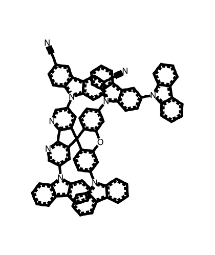 N#Cc1ccc2c(c1)c1cc(C#N)ccc1n2-c1cnc2c(c1)C1(c3ccc(-n4c5ccccc5c5ccccc54)cc3Oc3cc(-n4c5ccccc5c5cc(-n6c7ccccc7c7ccccc76)ccc54)ccc31)c1cc(-n3c4ccccc4c4ccccc43)cnc1-2